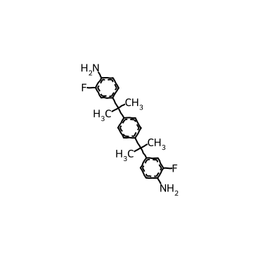 CC(C)(c1ccc(C(C)(C)c2ccc(N)c(F)c2)cc1)c1ccc(N)c(F)c1